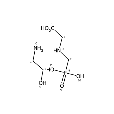 NCCO.O=C(O)CNCP(=O)(O)O